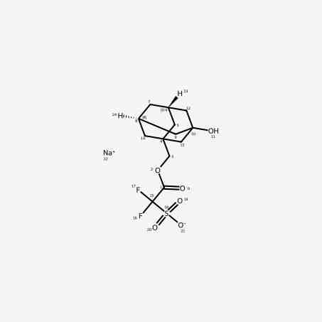 O=C(OCC12C[C@@H]3C[C@@H](CC(O)(C3)C1)C2)C(F)(F)S(=O)(=O)[O-].[Na+]